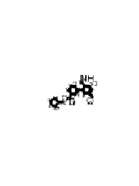 NCc1ccc(C=O)cc1-c1cccc(C(=O)OCC2CCCC2)c1